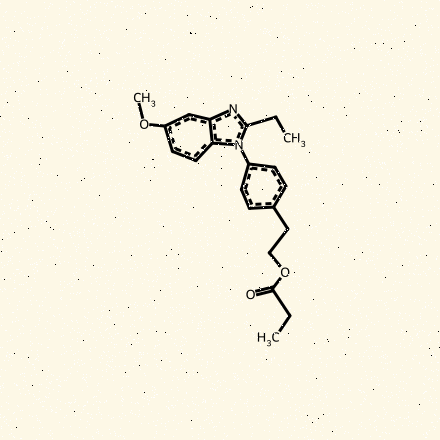 CCC(=O)OCCc1ccc(-n2c(CC)nc3cc(OC)ccc32)cc1